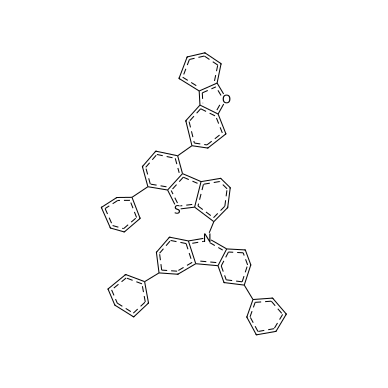 c1ccc(-c2ccc3c(c2)c2cc(-c4ccccc4)ccc2n3-c2cccc3c2sc2c(-c4ccccc4)ccc(-c4ccc5oc6ccccc6c5c4)c23)cc1